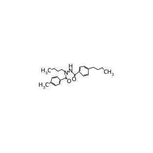 CCCCc1ccc(C(=O)NN(CCCC)C(=O)c2ccc(C)cc2)cc1